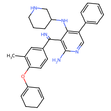 Cc1cc(C(=N)c2c(N)ncc(-c3ccccc3)c2NC2CCCNC2)ccc1OC1=CCCC=C1